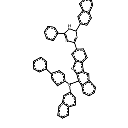 c1ccc(C2=NC(c3ccc4c(c3)oc3c(N(c5ccc(-c6ccccc6)cc5)c5ccc6ccccc6c5)c5ccccc5cc34)=NC(c3ccc4ccccc4c3)N2)cc1